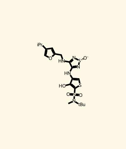 CC(C)c1coc(CNc2n[s+]([O-])nc2Nc2csc(S(=O)(=O)N(C)C(C)(C)C)c2O)c1